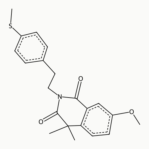 COc1ccc2c(c1)C(=O)N(CCc1ccc(SC)cc1)C(=O)C2(C)C